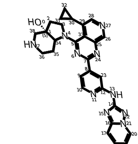 O[C@]12CCN(c3nc(-c4ccnc(Nc5nc6ccccn6n5)c4)nc4cncc(C5CC5)c34)C1CCNC2